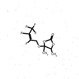 CC1OC(=O)OC1(C)OC/C(F)=C(/F)C(F)(F)F